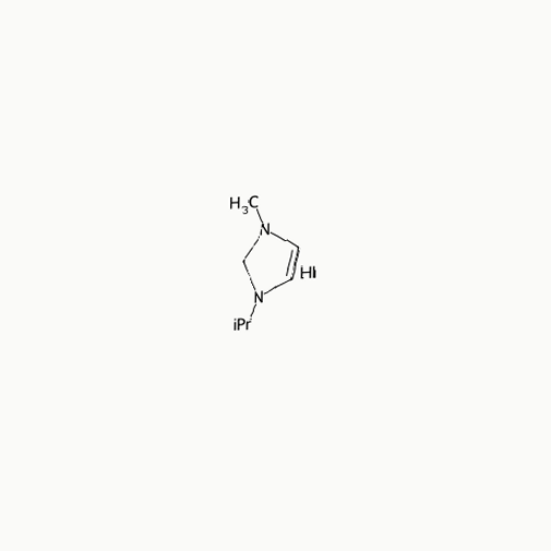 CC(C)N1C=CN(C)C1.I